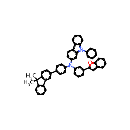 CC1(C)c2ccccc2-c2cc(-c3ccc(N(c4cccc(-c5cc6ccccc6o5)c4)c4ccc5c6ccccc6n(-c6ccccc6)c5c4)cc3)ccc21